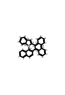 c1ccc2c(c1)ccc1c3c4ccccc4c4ccccc4c3c3cc4ccccc4n3c21